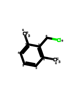 FC(F)(F)c1cccc(C(F)(F)F)c1CCl